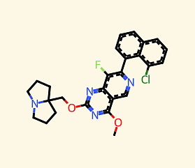 COc1nc(OCC23CCCN2CCC3)nc2c(F)c(-c3cccc4cccc(Cl)c34)ncc12